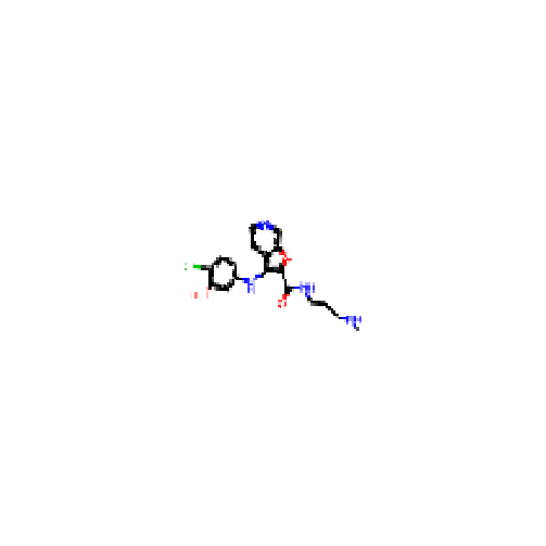 CNCCCNC(=O)c1oc2cnccc2c1Nc1ccc(Cl)c(O)c1